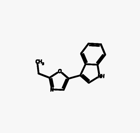 CCc1ncc(-c2c[nH]c3ccccc23)o1